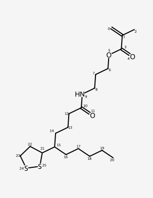 C=C(C)C(=O)OCCCNC(=O)CCCC(CCCCC)C1CCSS1